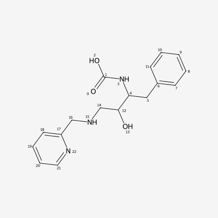 O=C(O)NC(Cc1ccccc1)C(O)CNCc1ccccn1